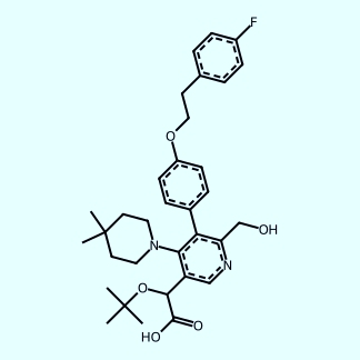 CC1(C)CCN(c2c(C(OC(C)(C)C)C(=O)O)cnc(CO)c2-c2ccc(OCCc3ccc(F)cc3)cc2)CC1